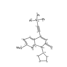 CSc1ncc2c(C#C[Si](C(C)C)(C(C)C)C(C)C)cc(=O)n(C3CCCC3)c2n1